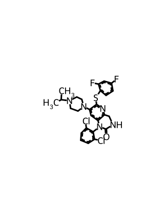 CC(C)N1CCN(c2cc3c(nc2Sc2ccc(F)cc2F)CNC(=O)N3c2c(Cl)cccc2Cl)CC1